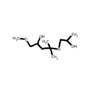 COCC(O)CC(C)(C)OCC(C)O